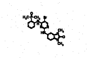 Cn1c(=O)n(C)c2cc(Nc3ncc(Br)c(Nc4ccccc4P(C)(C)=O)n3)ccc21